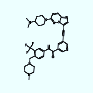 CN1CCN(Cc2ccc(NC(=O)c3cncc(C#Cc4cnc5ccc(N6CCC(N(C)C)CC6)nn45)c3)cc2C(F)(F)F)CC1